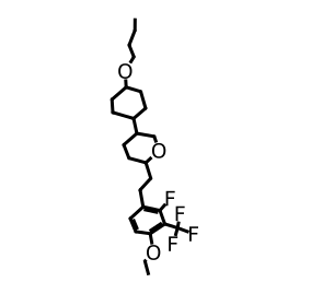 CCCCOC1CCC(C2CCC(CCc3ccc(OCC)c(C(F)(F)F)c3F)OC2)CC1